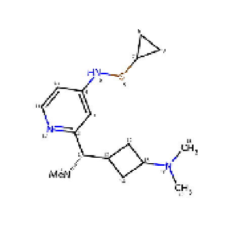 CN[C@H](c1cc(NSC2CC2)ccn1)C1CC(N(C)C)C1